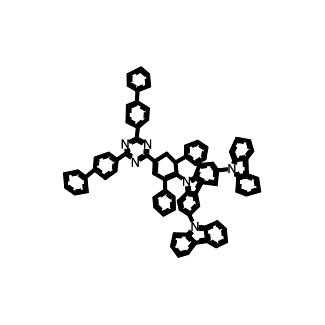 C1=C(c2nc(-c3ccc(-c4ccccc4)cc3)nc(-c3ccc(-c4ccccc4)cc3)n2)CC(c2ccccc2)C(n2c3ccc(-n4c5ccccc5c5ccccc54)cc3c3cc(-n4c5ccccc5c5ccccc54)ccc32)=C1c1ccccc1